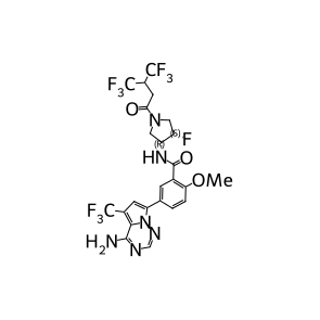 COc1ccc(-c2cc(C(F)(F)F)c3c(N)ncnn23)cc1C(=O)N[C@@H]1CN(C(=O)CC(C(F)(F)F)C(F)(F)F)C[C@@H]1F